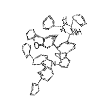 c1ccc(C2=NC(c3ccc4c(oc5c(-n6c7ccc(-c8ccccc8)cc7c7cc(-c8ccccc8)ccc76)cccc54)c3-c3ccc4c(c3)oc3ccccc34)NC(c3ccccc3)N2)cc1